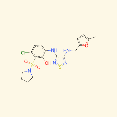 Cc1ccc(CNc2nsnc2Nc2ccc(Cl)c(S(=O)(=O)N3CCCC3)c2O)o1